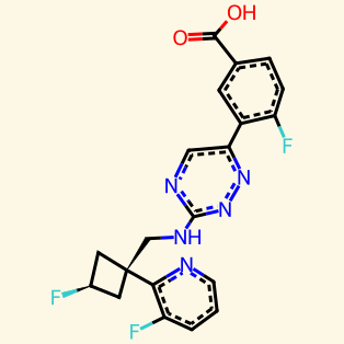 O=C(O)c1ccc(F)c(-c2cnc(NC[C@]3(c4ncccc4F)C[C@H](F)C3)nn2)c1